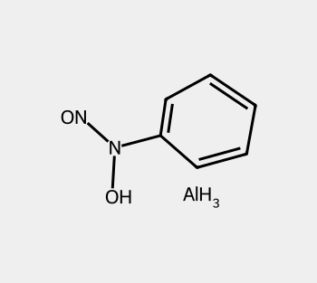 O=NN(O)c1ccccc1.[AlH3]